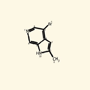 Cc1cc2c(Br)cncc2[nH]1